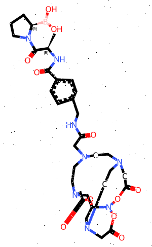 C[C@@H](NC(=O)c1ccc(CNC(=O)CN2CCN3CCN4CC(=O)ON(OC(=O)C3)C3(C4)CN(CC2)CC(=O)O3)cc1)C(=O)N1CCC[C@H]1B(O)O